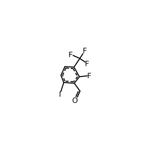 O=Cc1c(I)ccc(C(F)(F)F)c1F